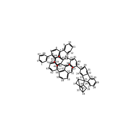 c1ccc(-c2ccc(-c3ccccc3N(c3ccc(-c4ccc5c(c4)C4(c6ccccc6-5)C5CC6CC(C5)C4C6)cc3)c3ccccc3-c3cccc4cccc(-c5ccccc5)c34)cc2)cc1